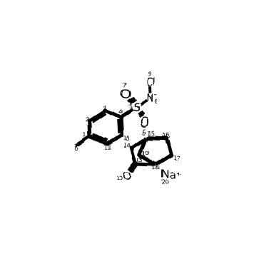 Cc1ccc(S(=O)(=O)[N-]Cl)cc1.O=C1CC2CCC1C2.[Na+]